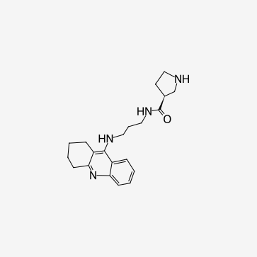 O=C(NCCCNc1c2c(nc3ccccc13)CCCC2)[C@H]1CCNC1